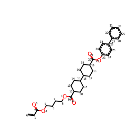 C=CC(=O)OCCCCOC(=O)C1CCC(C2CCC(C(=O)Oc3ccc(-c4ccccc4)cc3)CC2)CC1